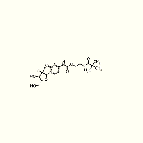 CC(C)(C)C(=O)OCCOC(=O)Nc1ccn([C@@H]2O[C@H](CO)[C@@H](O)C2(F)F)c(=O)n1